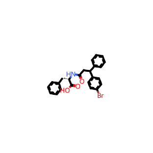 O=C(CC(c1ccccc1)c1ccc(Br)cc1)N[C@@H](Cc1ccccc1)C(=O)O